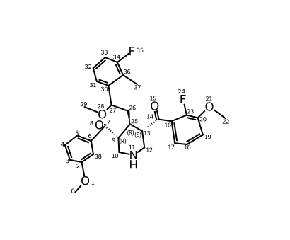 COc1cccc(C(=O)[C@H]2CNC[C@@H](C(=O)c3cccc(OC)c3F)[C@@H]2CC(OC)c2cccc(F)c2C)c1